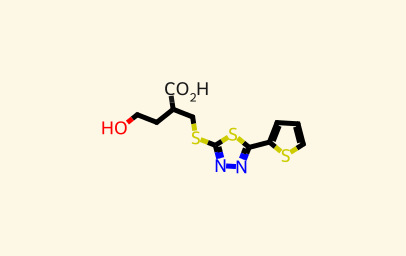 O=C(O)C(CCO)CSc1nnc(-c2cccs2)s1